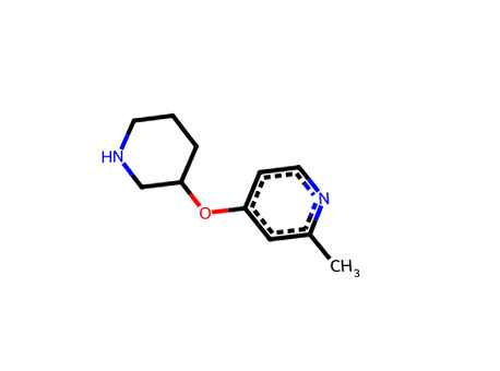 Cc1cc(OC2CCCNC2)ccn1